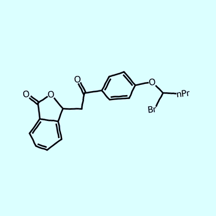 CCCC(Br)Oc1ccc(C(=O)CC2OC(=O)c3ccccc32)cc1